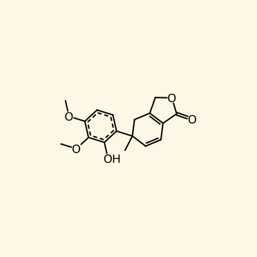 COc1ccc(C2(C)C=CC3=C(COC3=O)C2)c(O)c1OC